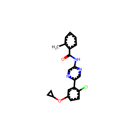 Cc1ccccc1C(=O)Nc1cnc(-c2cc(OC3CC3)ccc2Cl)cn1